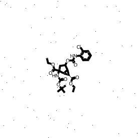 CCOC(=O)[C@H]1C2C(OC(=O)Nc3ccccc3Cl)CC(NC(=O)OC(C)(C)C)(C(=O)OCC)C21